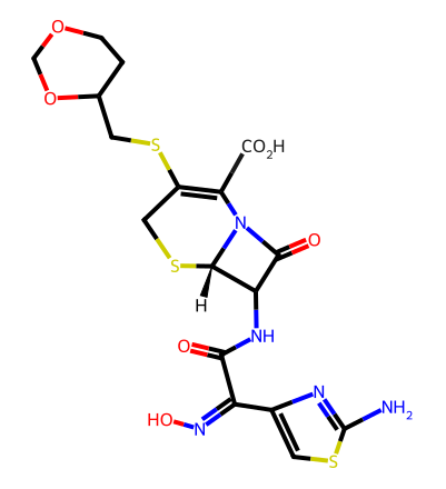 Nc1nc(/C(=N/O)C(=O)NC2C(=O)N3C(C(=O)O)=C(SCC4CCOCO4)CS[C@@H]23)cs1